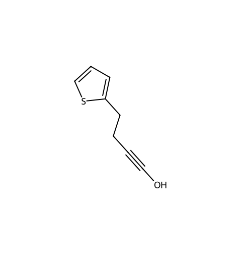 OC#CCCc1cccs1